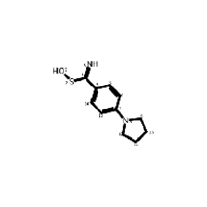 N=C(SO)c1ccc(N2CCCC2)cc1